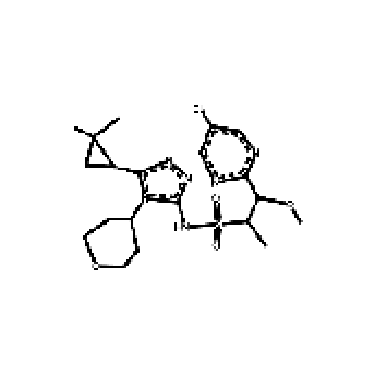 COC(c1ncc(Cl)cn1)C(C)S(=O)(=O)Nc1nnc([C@H]2CC2(C)C)n1C1CCOCC1